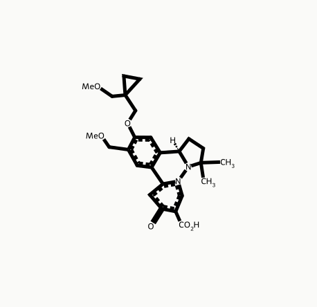 COCc1cc2c(cc1OCC1(COC)CC1)[C@H]1CCC(C)(C)N1n1cc(C(=O)O)c(=O)cc1-2